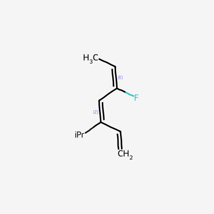 C=C/C(=C\C(F)=C/C)C(C)C